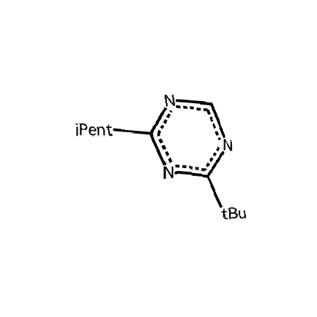 CCCC(C)c1ncnc(C(C)(C)C)n1